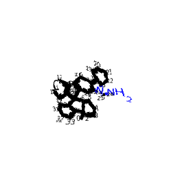 CC12C=CC=CC1C(c1ccccc1)(c1ccc3c4ccccc4n(CN)c3c1)c1ccccc12